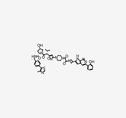 Cc1ncsc1-c1ccc([C@H](C)NC(=O)[C@@H]2C[C@@H](O)CN2C(=O)[C@@H](c2cc(N3CCN(C(=O)C(=O)N4CC(c5cc6cc(-c7ccccc7O)nnc6[nH]5)C4)CC3)no2)C(C)C)cc1